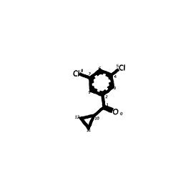 O=C(c1cc(Cl)cc(Cl)c1)C1CC1